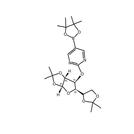 CC1(C)OCC([C@H]2O[C@@H]3OC(C)(C)O[C@@H]3[C@H]2Oc2ncc(B3OC(C)(C)C(C)(C)O3)cn2)O1